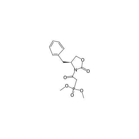 COP(=O)(CC(=O)N1C(=O)OC[C@@H]1Cc1ccccc1)OC